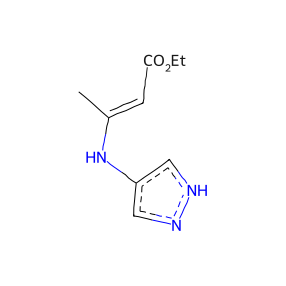 CCOC(=O)C=C(C)Nc1cn[nH]c1